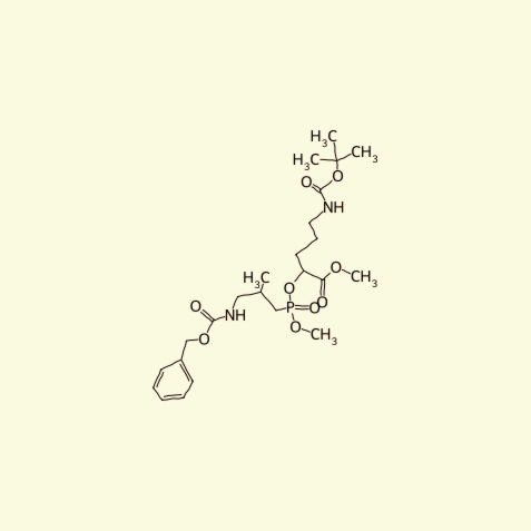 COC(=O)C(CCCNC(=O)OC(C)(C)C)OP(=O)(CC(C)CNC(=O)OCc1ccccc1)OC